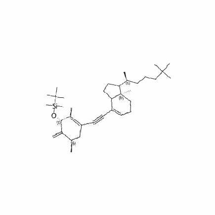 C=C1[C@H](O[Si](C)(C)C(C)(C)C)C(C)=C(C#CC2=CCC[C@@]3(C)C2CCC3[C@@H](C)CCCC(C)(C)C)C[C@H]1C